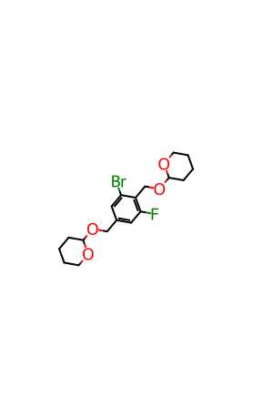 Fc1cc(COC2CCCCO2)cc(Br)c1COC1CCCCO1